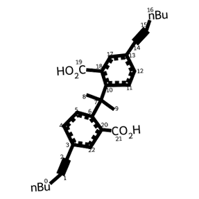 CCCCC#Cc1ccc(C(C)(C)c2ccc(C#CCCCC)cc2C(=O)O)c(C(=O)O)c1